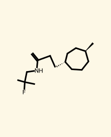 C=C(CC[C@H]1CCC[C@H](C)CC1)NCC(C)(C)F